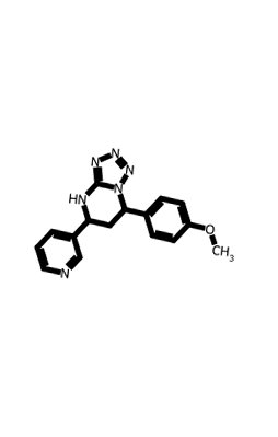 COc1ccc(C2CC(c3cccnc3)Nc3nnnn32)cc1